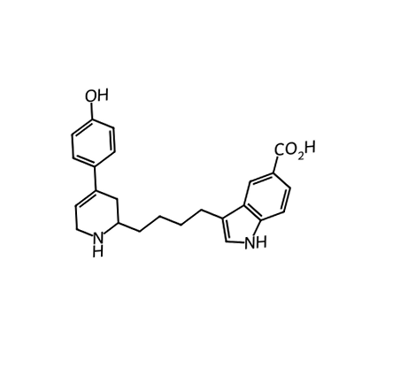 O=C(O)c1ccc2[nH]cc(CCCCC3CC(c4ccc(O)cc4)=CCN3)c2c1